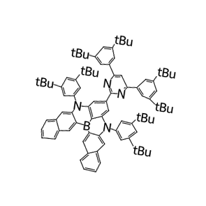 CC(C)(C)c1cc(-c2cc(-c3cc(C(C)(C)C)cc(C(C)(C)C)c3)nc(-c3cc4c5c(c3)N(c3cc(C(C)(C)C)cc(C(C)(C)C)c3)c3cc6ccccc6cc3B5c3cc5ccccc5cc3N4c3cc(C(C)(C)C)cc(C(C)(C)C)c3)n2)cc(C(C)(C)C)c1